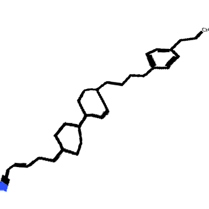 CCCc1ccc(CCCCC2CCC(C3CCC(CCC=CC#N)CC3)CC2)cc1